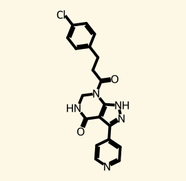 O=C1NCN(C(=O)CCc2ccc(Cl)cc2)c2[nH]nc(-c3ccncc3)c21